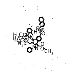 CCCCc1c(-c2ccc(C(=O)NS(=O)(=O)c3ccc4ccccc4c3)cc2C(=O)N2Cc3ccccc3C[C@H]2CO[Si](C)(C)C(C)(C)C)c(C(=O)OCC)nn1-c1ccccc1